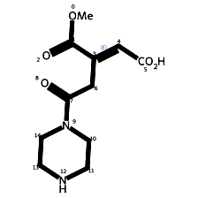 COC(=O)/C(=C/C(=O)O)CC(=O)N1CCNCC1